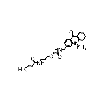 CCCC(=O)NCCCOCC(=O)NCc1ccc(C(=O)C2=C(NC)CCCC2)cc1